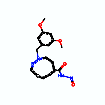 COc1cc(Cn2ccc(C(=O)NN=O)ccccn2)cc(OC)c1